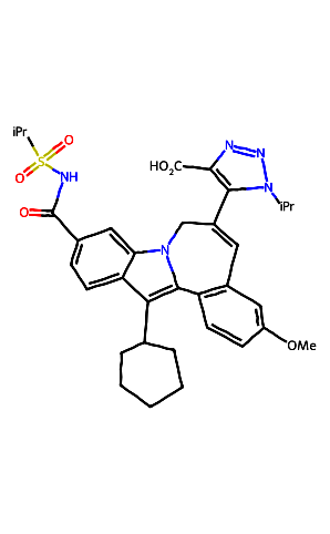 COc1ccc2c(c1)C=C(c1c(C(=O)O)nnn1C(C)C)Cn1c-2c(C2CCCCC2)c2ccc(C(=O)NS(=O)(=O)C(C)C)cc21